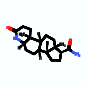 C[C@]12CCC(=O)N[C@@H]1CC[C@@H]1[C@@H]2CC[C@]2(C)[C@@H](C(N)=O)CC[C@@H]12